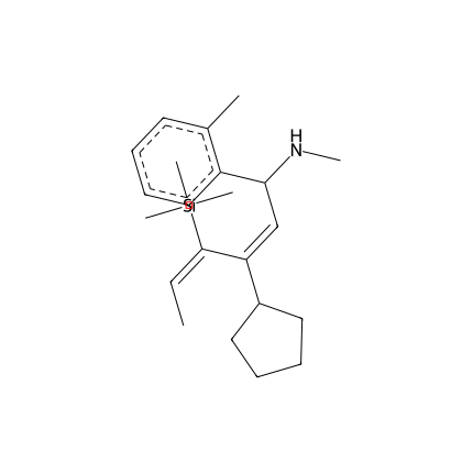 C/C=C(\C(=C/C(NC)c1ccccc1C)C1CCCC1)[Si](C)(C)C